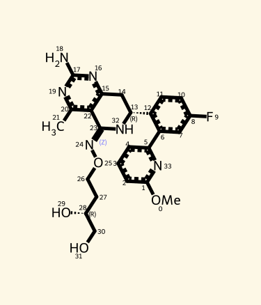 COc1cccc(-c2cc(F)ccc2[C@H]2Cc3nc(N)nc(C)c3/C(=N/OCC[C@@H](O)CO)N2)n1